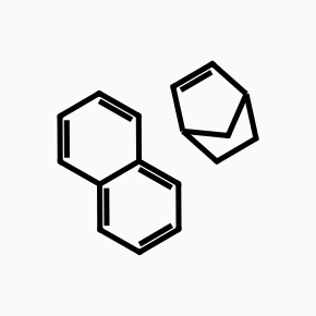 C1=CC2CCC1C2.c1ccc2ccccc2c1